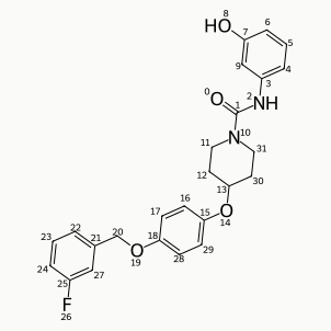 O=C(Nc1cccc(O)c1)N1CCC(Oc2ccc(OCc3cccc(F)c3)cc2)CC1